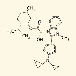 CC(C)[C@@H]1CC[C@@H](C)C[C@H]1OC(=O)[C@@H](O)n1c(-c2ccc(N(C3CC3)C3CC3)cc2)[n+](C)c2ccccc21